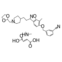 CNC.Cc1c(OCc2cccc(C#N)c2)ccc2c(CCC3CCN(CC4OCCO4)CC3)noc12.O=C(O)C=CC(=O)O